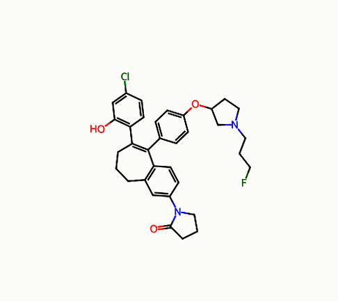 O=C1CCCN1c1ccc2c(c1)CCCC(c1ccc(Cl)cc1O)=C2c1ccc(OC2CCN(CCCF)C2)cc1